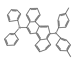 Cc1ccc(N(c2ccc(C)cc2)c2cc3c4ccccc4c(N(c4ccccc4)c4ccccc4)cc3c3ccccc23)cc1